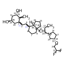 C=C1/C(=C\C=C2/CCC[C@]3(C)[C@@H](C(C)CN4CC[C@H](OCC(F)F)C4)CC[C@@H]23)C[C@@H](O)C[C@@H]1O